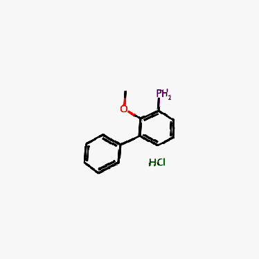 COc1c(P)cccc1-c1ccccc1.Cl